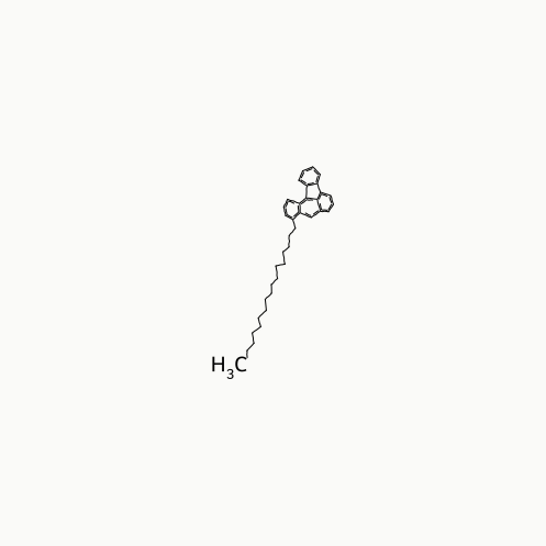 CCCCCCCCCCCCCCCCCCc1cccc2c3c4c(cccc4cc12)-c1ccccc1-3